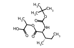 CC[C@H](C)[C@H](NC(=O)OC(C)(C)C)C(=O)OC(C)C(=O)O